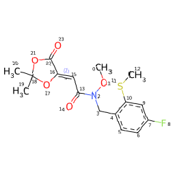 CON(Cc1ccc(F)cc1SC)C(=O)/C=C1\OC(C)(C)OC1=O